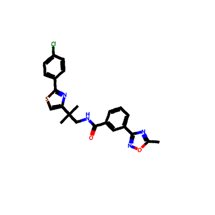 Cc1nc(-c2cccc(C(=O)NCC(C)(C)c3csc(-c4ccc(Cl)cc4)n3)c2)no1